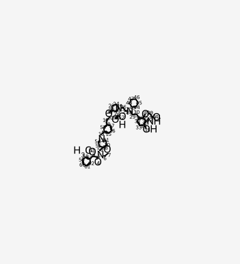 COC(C(=O)N1CCOC2(CCN(Cc3cccc(CCOC4CCN(CCN(CCc5ccc(O)c6c5OCC(=O)N6)C5CCCCC5)[C@@H]4C(=O)O)c3)CC2)C1)c1ccccc1